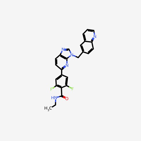 CCNC(=O)c1c(F)cc(-c2ccc3ncn(Cc4ccc5ncccc5c4)c3n2)cc1F